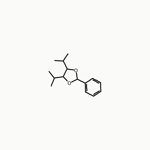 CC(C)C1OC(c2ccccc2)OC1C(C)C